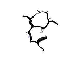 C=C(C)/C=C\C1=C(C)OCC(C)C1